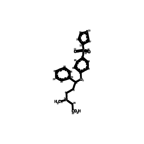 CN(CCC(Oc1ccc(S(=O)(=O)c2ccsc2)cc1)c1ccccc1)CC(=O)O